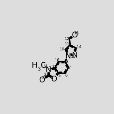 Cn1c(=O)oc2ccc(-n3cc(C=O)cn3)cc21